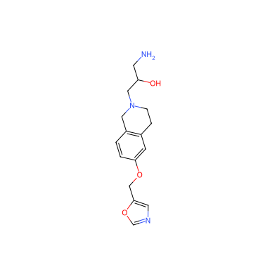 NCC(O)CN1CCc2cc(OCc3cnco3)ccc2C1